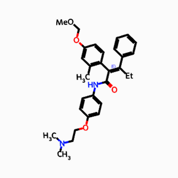 CC/C(=C(\C(=O)Nc1ccc(OCCN(C)C)cc1)c1ccc(OCOC)cc1C)c1ccccc1